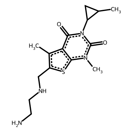 Cc1c(CNCCN)sc2c1c(=O)n(C1CC1C)c(=O)n2C